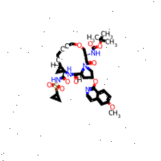 COc1ccc2c(O[C@@H]3C[C@H]4C(=O)N[C@]5(C(=O)NS(=O)(=O)C6CC6)C[C@H]5CCCCCOC[C@H](NC(=O)OC(C)(C)C)C(=O)N4C3)nccc2c1